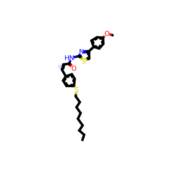 CCCCCCCCCSc1ccc(/C=C\C(=O)Nc2nc(-c3ccc(OC)cc3)cs2)cc1